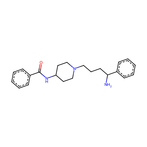 NC(CCCN1CCC(NC(=O)c2ccccc2)CC1)c1ccccc1